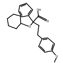 COc1ccc(CCC(OC2CCCCC2)(C(=O)O)c2ccccc2)cc1